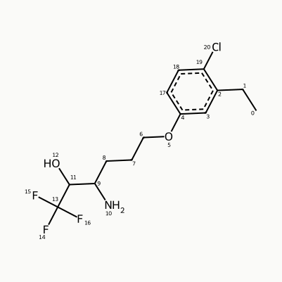 CCc1cc(OCCCC(N)C(O)C(F)(F)F)ccc1Cl